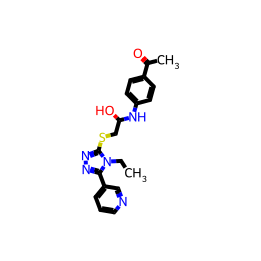 CCn1c(SCC(O)Nc2ccc(C(C)=O)cc2)nnc1-c1cccnc1